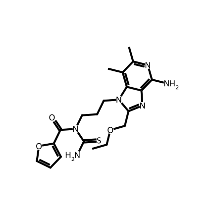 CCOCc1nc2c(N)nc(C)c(C)c2n1CCCN(C(=O)c1ccco1)C(N)=S